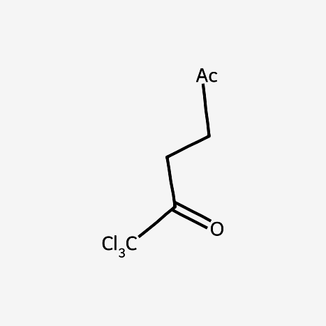 CC(=O)CCC(=O)C(Cl)(Cl)Cl